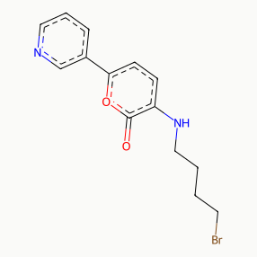 O=c1oc(-c2cccnc2)ccc1NCCCCBr